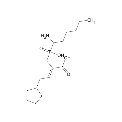 CCCCCC(N)P(=O)(O)C/C(=C\CC1CCCC1)C(=O)O